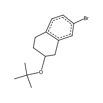 CC(C)(C)OC1CCc2ccc(Br)cc2C1